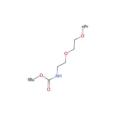 [CH2]CCOCCOCCNC(=O)OC(C)(C)C